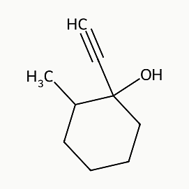 C#CC1(O)CCCCC1C